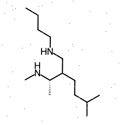 CCCCNCC(CCC(C)C)[C@H](C)NC